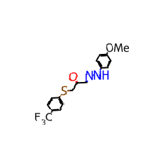 COc1ccc(NN=CC(=O)CSc2ccc(C(F)(F)F)cc2)cc1